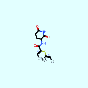 C/C=C(\S/C(=C/CC)C(F)(F)F)C(=O)NC1CCC(=O)NC1=O